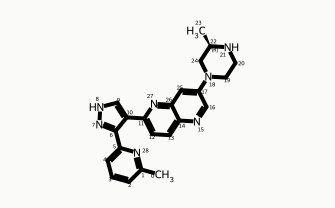 Cc1cccc(-c2n[nH]cc2-c2ccc3ncc(N4CCN[C@H](C)C4)cc3n2)n1